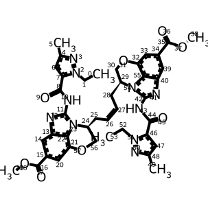 CCn1nc(C)cc1C(=O)Nc1nc2cc(C(=O)OC)cc3c2n1[C@@H](C/C=C\C[C@H]1COc2cc(C(=O)OC)cc4nc(NC(=O)c5cc(C)nn5CC)n1c24)CO3